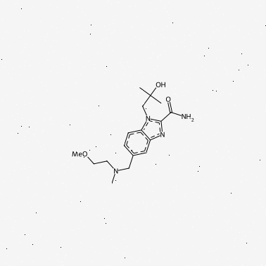 COCCN(C)Cc1ccc2c(c1)nc(C(N)=O)n2CC(C)(C)O